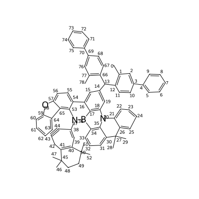 Cc1cc(-c2ccccc2)ccc1C(c1cc2c3c(c1)N1c4ccccc4C(C)(C)c4cccc(c41)B3N(C1=CC3=C(CC#C1)C(C)(C)CCC3(C)C)c1c-2ccc2oc3ccccc3c12)c1ccc(-c2ccccc2)cc1C